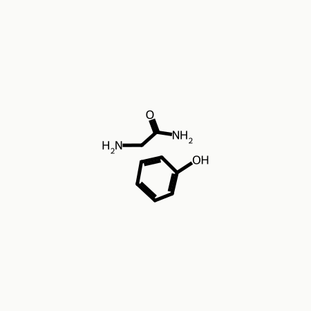 NCC(N)=O.Oc1ccccc1